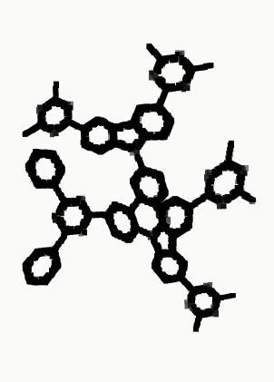 Cc1nc(C)nc(-c2ccc3c(c2)c2cc(-c4nc(C)nc(C)n4)ccc2n3-c2ccc(C(F)(F)F)c(-c3cc(-c4nc(-c5ccccc5)nc(-c5ccccc5)n4)ccc3-n3c4ccc(-c5nc(C)nc(C)n5)cc4c4cc(-c5nc(C)nc(C)n5)ccc43)c2)n1